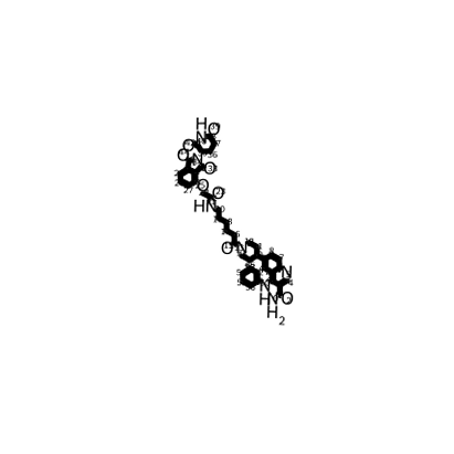 NC(=O)c1cnc2ccc(C3CCN(C(=O)CCCCCNC(=O)COc4cccc5c4C(=O)N(C4CCC(=O)NC4=O)C5=O)CC3)cc2c1Nc1ccccc1